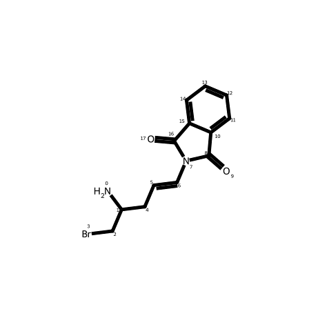 NC(CBr)C/C=C/N1C(=O)c2ccccc2C1=O